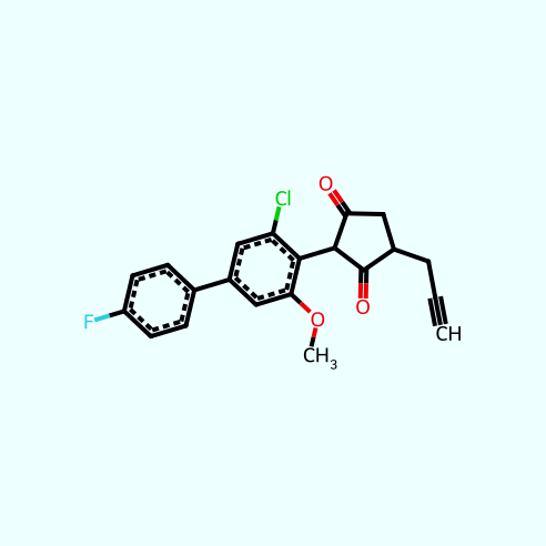 C#CCC1CC(=O)C(c2c(Cl)cc(-c3ccc(F)cc3)cc2OC)C1=O